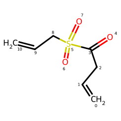 C=CCC(=O)S(=O)(=O)CC=C